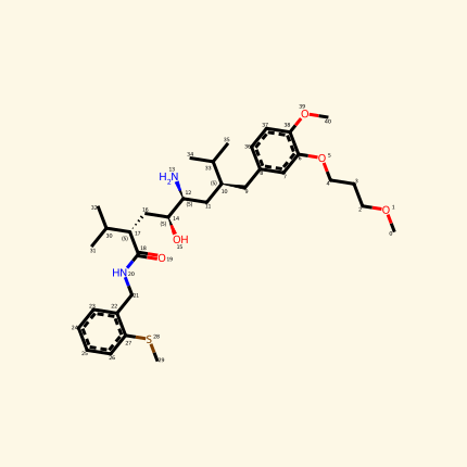 COCCCOc1cc(C[C@@H](C[C@H](N)[C@@H](O)C[C@H](C(=O)NCc2ccccc2SC)C(C)C)C(C)C)ccc1OC